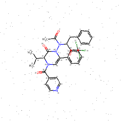 CC(=O)N(C(Cc1ccccc1)C(=O)C(F)(F)F)N1C(=O)C(C(C)C)N(C(=O)c2ccncc2)C=C1c1ccccc1